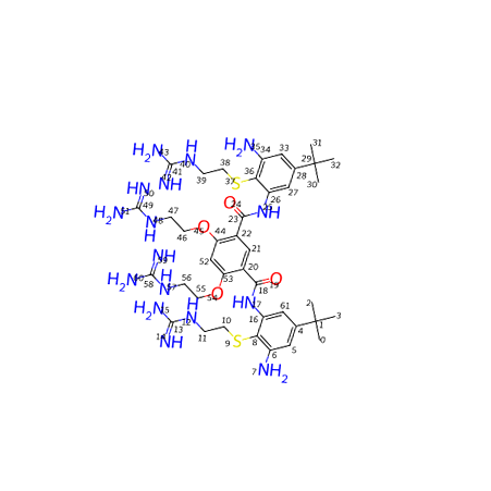 CC(C)(C)c1cc(N)c(SCCNC(=N)N)c(NC(=O)c2cc(C(=O)Nc3cc(C(C)(C)C)cc(N)c3SCCNC(=N)N)c(OCCNC(=N)N)cc2OCCNC(=N)N)c1